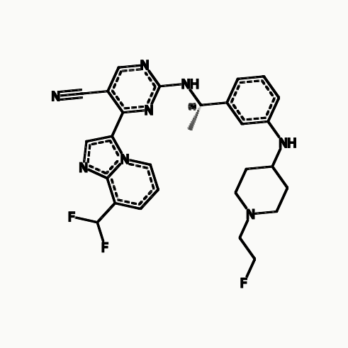 C[C@H](Nc1ncc(C#N)c(-c2cnc3c(C(F)F)cccn23)n1)c1cccc(NC2CCN(CCF)CC2)c1